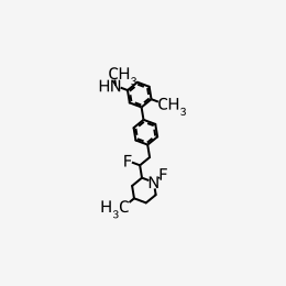 CNc1ccc(C)c(-c2ccc(CC(F)C3CC(C)CCN3F)cc2)c1